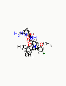 COc1cc(F)ccc1-c1ccc(C(=O)NS(=O)(=O)c2cccc(N)n2)c(Oc2c(C)cc(C)cc2C)n1